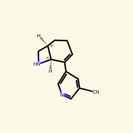 N#Cc1cncc(C2=CCC[C@@H]3CN[C@H]23)c1